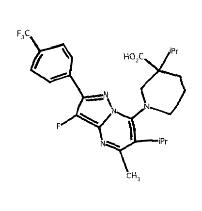 Cc1nc2c(F)c(-c3ccc(C(F)(F)F)cc3)nn2c(N2CCCC(C(=O)O)(C(C)C)C2)c1C(C)C